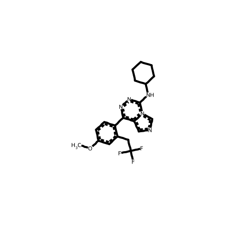 COc1ccc(-c2nnc(NC3CCCCC3)n3cncc23)c(CC(F)(F)F)c1